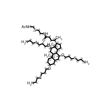 CC(=O)NCSCCNC(=O)CCC(C)[C@H]1CCC2C3C(C[C@H](OCCCSCCN)[C@@]21C)[C@@]1(C)CC[C@@H](OCCCSCCN)CC1C[C@H]3OCCCSCCN